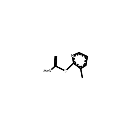 C=C(NC)Sc1ncccc1C